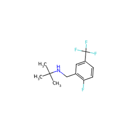 CC(C)(C)NCc1cc(C(F)(F)F)ccc1F